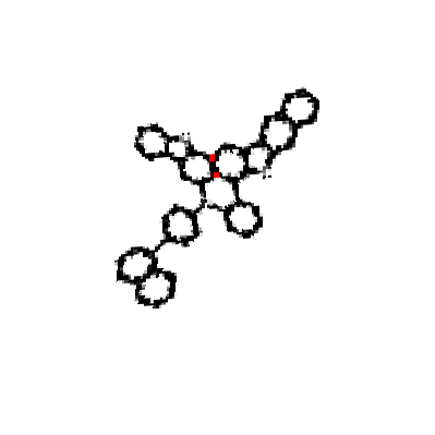 c1ccc(N(c2ccc(-c3cccc4ccccc34)cc2)c2ccc3oc4ccccc4c3c2)c(-c2cccc3c2oc2cc4ccccc4cc23)c1